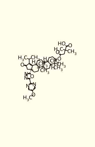 COc1cnc(-c2nnc([C@@]34CC[C@]5(C)[C@H](CC[C@@H]6[C@@]7(C)CC[C@H](OC(=O)CC(C)(C)C(=O)O)C(C)(C)[C@@H]7CC[C@]65C)C3=C(C(C)C)C(=O)C4)o2)nc1